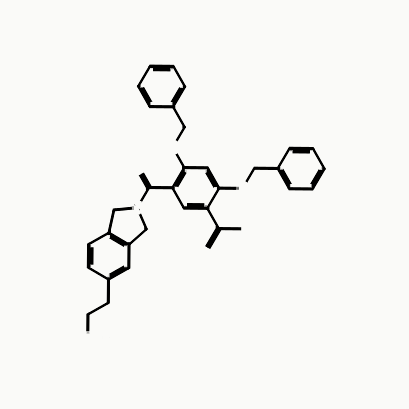 C=C(C)c1cc(C(=O)N2Cc3ccc(CCC=O)cc3C2)c(OCc2ccccc2)cc1OCc1ccccc1